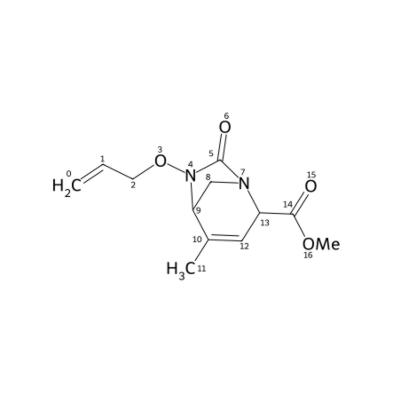 C=CCON1C(=O)N2CC1C(C)=CC2C(=O)OC